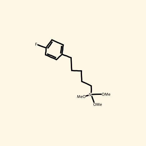 CO[Si](CCCCCc1ccc(F)cc1)(OC)OC